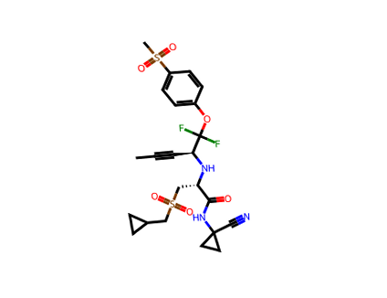 CC#C[C@H](N[C@@H](CS(=O)(=O)CC1CC1)C(=O)NC1(C#N)CC1)C(F)(F)Oc1ccc(S(C)(=O)=O)cc1